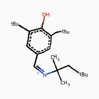 CC(C)(C)CC(C)(C)/N=C\c1cc(C(C)(C)C)c(O)c(C(C)(C)C)c1